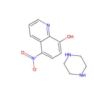 C1CNCCN1.O=[N+]([O-])c1ccc(O)c2ncccc12